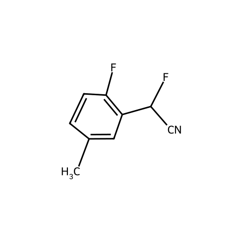 Cc1ccc(F)c(C(F)C#N)c1